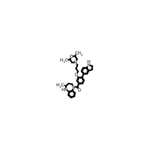 CC1CN(CCCOc2cc(C(=O)N3CC[C@H](C)Nc4ccccc43)ccc2-c2ccc3c(c2)CCN3)CC(C)O1